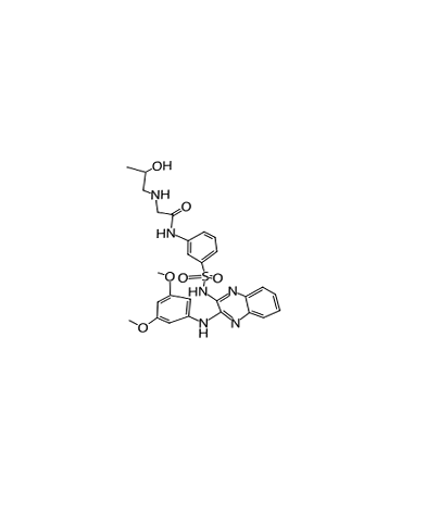 COc1cc(Nc2nc3ccccc3nc2NS(=O)(=O)c2cccc(NC(=O)CNCC(C)O)c2)cc(OC)c1